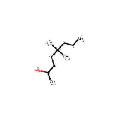 CCCC(C)(C)CCC(C)O